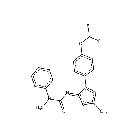 Cc1cn(-c2ccc(OC(F)F)cc2)c(=NC(=O)N(C)c2ccccc2)s1